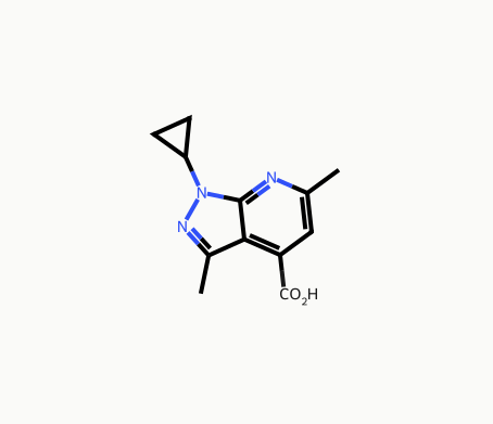 Cc1cc(C(=O)O)c2c(C)nn(C3CC3)c2n1